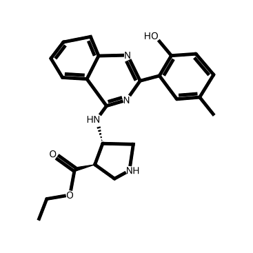 CCOC(=O)[C@@H]1CNC[C@H]1Nc1nc(-c2cc(C)ccc2O)nc2ccccc12